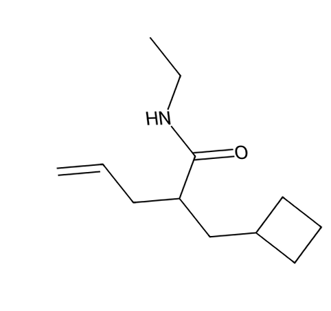 C=CCC(CC1CCC1)C(=O)NCC